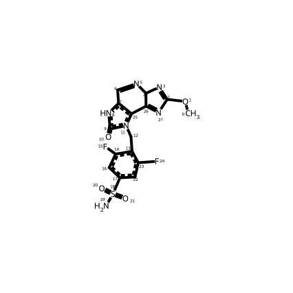 COC1=NC2N=Cc3[nH]c(=O)n(Cc4c(F)cc(S(N)(=O)=O)cc4F)c3C2=N1